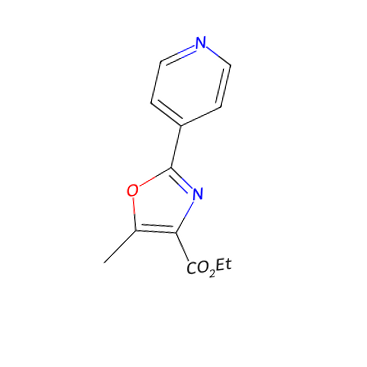 CCOC(=O)c1nc(-c2ccncc2)oc1C